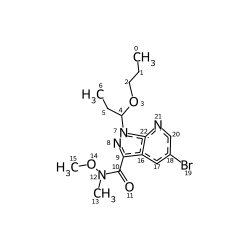 CCCOC(CC)n1nc(C(=O)N(C)OC)c2cc(Br)cnc21